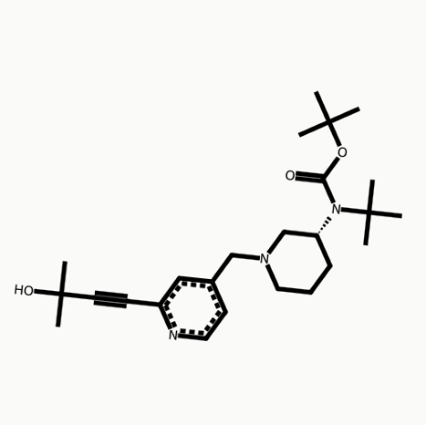 CC(C)(O)C#Cc1cc(CN2CCC[C@@H](N(C(=O)OC(C)(C)C)C(C)(C)C)C2)ccn1